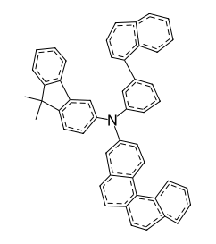 CC1(C)c2ccccc2-c2cc(N(c3cccc(-c4cccc5ccccc45)c3)c3ccc4c(ccc5ccc6ccccc6c54)c3)ccc21